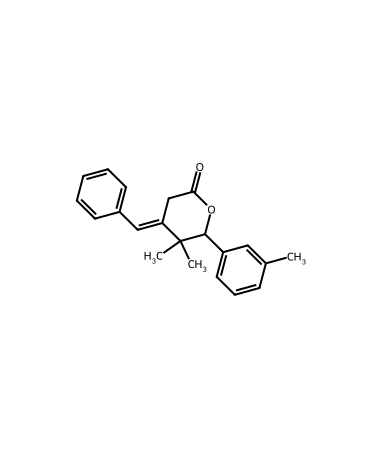 Cc1cccc(C2OC(=O)CC(=Cc3ccccc3)C2(C)C)c1